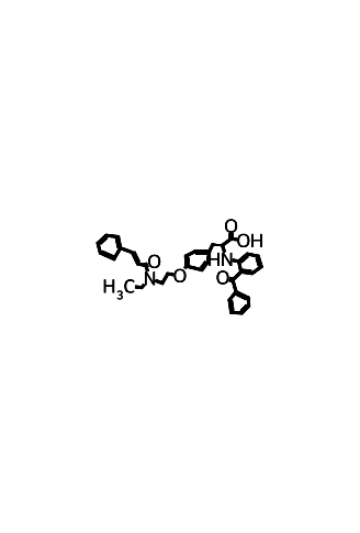 CCN(CCOc1ccc(C[C@H](Nc2ccccc2C(=O)c2ccccc2)C(=O)O)cc1)C(=O)/C=C/c1ccccc1